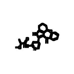 COC(C)C(=O)Nc1cc(-c2[nH]c3c(c2Nc2ccccc2)C(=O)CCC3)ccn1